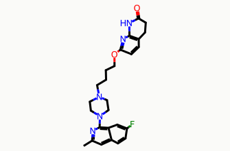 Cc1cc2ccc(F)cc2c(N2CCN(CCCCOc3ccc4c(n3)NC(=O)CC4)CC2)n1